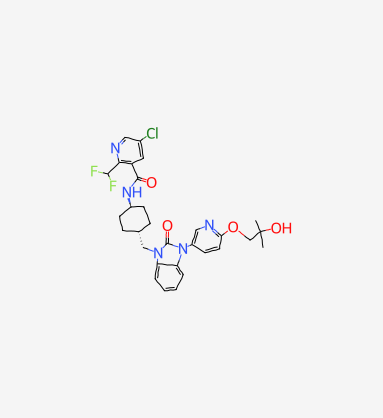 CC(C)(O)COc1ccc(-n2c(=O)n(C[C@H]3CC[C@H](NC(=O)c4cc(Cl)cnc4C(F)F)CC3)c3ccccc32)cn1